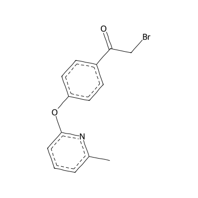 Cc1cccc(Oc2ccc(C(=O)CBr)cc2)n1